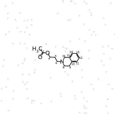 CC(=O)OCCCN1CCc2ccccc2C1